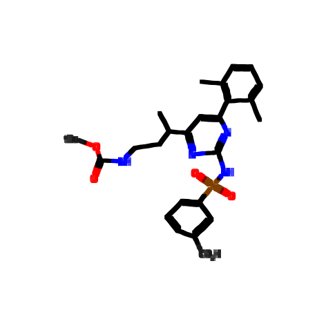 Cc1cccc(C)c1-c1cc(C(C)CCNC(=O)OC(C)(C)C)nc(NS(=O)(=O)c2cccc(C(=O)O)c2)n1